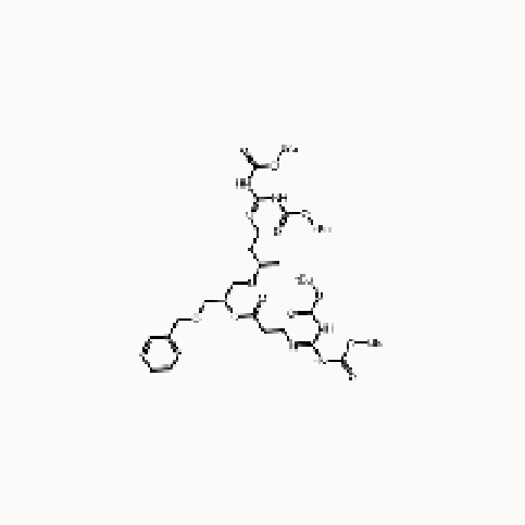 C=C(CCN=C(NC(=O)OC(C)(C)C)NC(=O)OC(C)(C)C)OCC(COCc1ccccc1)OC(=O)CCN=C(NC(=O)OC(C)(C)C)NC(=O)OC(C)(C)C